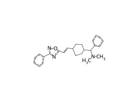 CN(C)C(c1ccccc1)C1CCC(/C=C/c2nc(-c3ccccc3)no2)CC1